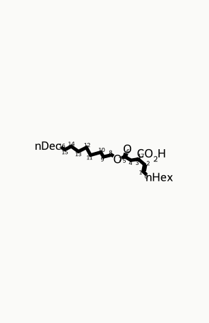 CCCCCC/C=C/C(CC(=O)OCCCCCCCCCCCCCCCCCC)C(=O)O